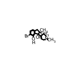 CN1CCC(C2(O)c3c(ccc(Br)c3O)CC2(C)C)CC1